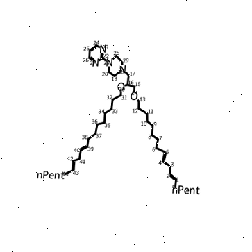 CCCCCC=CCC=CCCCCCCCCOCC(CN1CCN(c2ncccn2)CC1)OCCCCCCCCC=CCC=CCCCCC